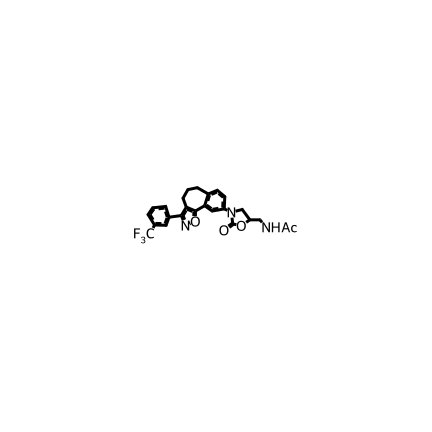 CC(=O)NCC1CN(c2ccc3c(c2)-c2onc(-c4cccc(C(F)(F)F)c4)c2CCC3)C(=O)O1